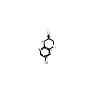 O=C1CSc2cc(Cl)[c]nc2N1